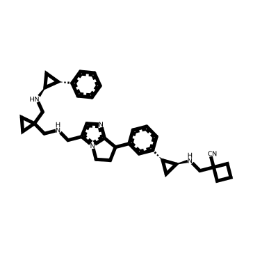 N#CC1(CN[C@H]2C[C@@H]2c2cccc(C3CCn4c(CNCC5(CN[C@H]6C[C@@H]6c6ccccc6)CC5)cnc43)c2)CCC1